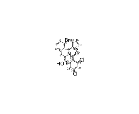 O=C(O)C(Cc1ccccc1)N(Cc1sccc1Br)C(=O)c1ccc(Cl)cc1Cl